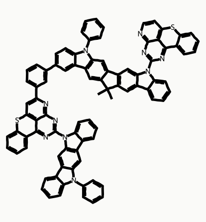 CC1(C)c2cc3c4cc(-c5cccc(-c6cc7c8c(nc(-n9c%10ccccc%10c%10cc%11c(cc%109)c9ccccc9n%11-c9ccccc9)nc8n6)-c6ccccc6S7)c5)ccc4n(-c4ccccc4)c3cc2-c2cc3c(cc21)c1ccccc1n3-c1nc2c3c(ccnc3n1)Sc1ccccc1-2